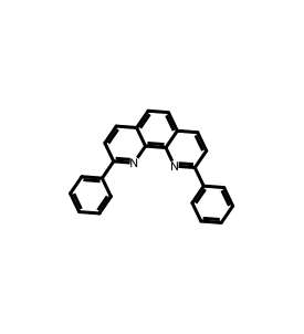 c1ccc(-c2ccc3ccc4ccc(-c5ccccc5)nc4c3n2)cc1